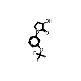 O=C1[C@H](O)CCN1c1cccc(OC(F)(F)F)c1